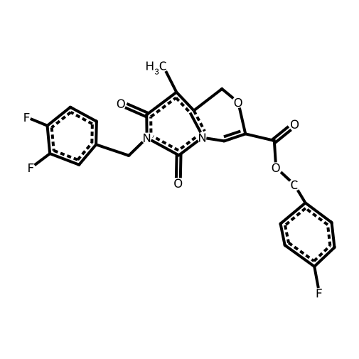 Cc1c2n(c(=O)n(Cc3ccc(F)c(F)c3)c1=O)C=C(C(=O)OCc1ccc(F)cc1)OC2